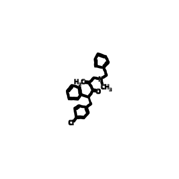 C=C(CN(C)Cc1ccccc1)C(=O)[C@@H](Cc1ccc(Cl)cc1)c1ccccc1